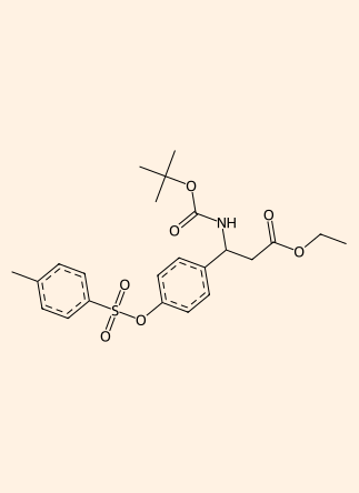 CCOC(=O)CC(NC(=O)OC(C)(C)C)c1ccc(OS(=O)(=O)c2ccc(C)cc2)cc1